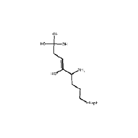 CCCCCCCCCCC(N)C(O)=CCC(O)(O)O